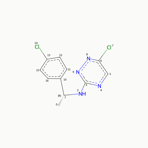 C[C@@H](Nc1ncc(Cl)nn1)c1ccc(Cl)cc1